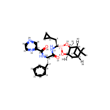 CC1(C)[C@@H]2C[C@H]3OB([C@H](CC4CC4)NC(=O)[C@H](Cc4ccccc4)NC(=O)c4cnccn4)O[C@@]3(C)[C@H]1C2